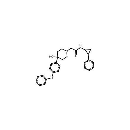 O=C(CN1CCC(O)(c2ccc(Oc3ccccc3)cc2)CC1)NC1CC1c1ccccc1